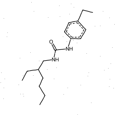 CCCCC(CC)CNC(=O)Nc1ccc(CC)cc1